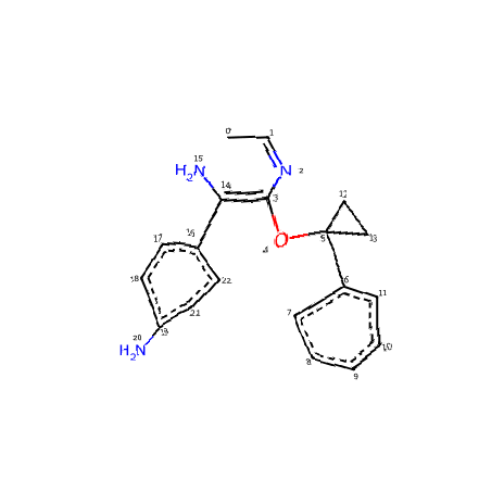 C/C=N\C(OC1(c2ccccc2)CC1)=C(/N)c1ccc(N)cc1